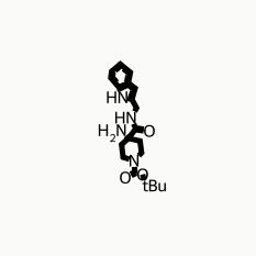 CC(C)(C)OC(=O)N1CCC(N)(C(=O)NCc2cc3ccccc3[nH]2)CC1